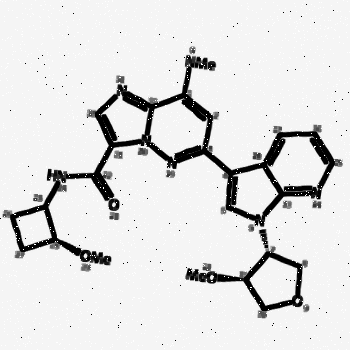 CNc1cc(-c2cn([C@@H]3COC[C@H]3OC)c3ncccc23)nn2c(C(=O)NC3CC[C@@H]3OC)cnc12